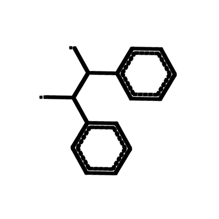 [CH2]C(c1ccccc1)C([CH2])c1ccccc1